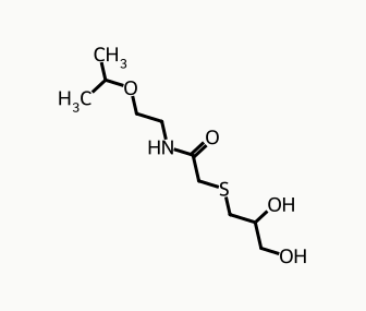 CC(C)OCCNC(=O)CSCC(O)CO